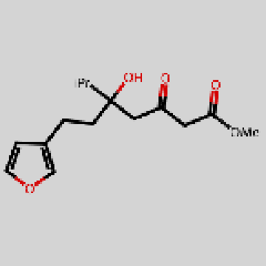 COC(=O)CC(=O)CC(O)(CCc1ccoc1)C(C)C